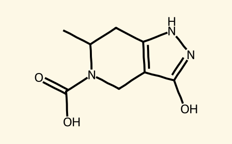 CC1Cc2[nH]nc(O)c2CN1C(=O)O